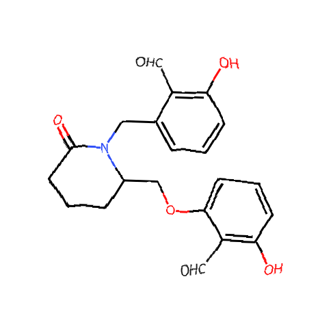 O=Cc1c(O)cccc1CN1C(=O)CCCC1COc1cccc(O)c1C=O